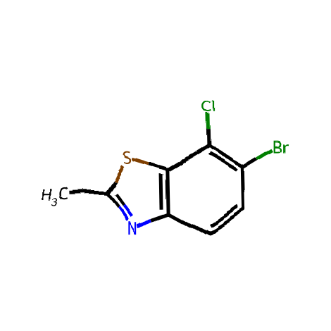 Cc1nc2ccc(Br)c(Cl)c2s1